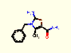 CC1=C(C(N)=O)SC(N)N1Cc1ccccc1